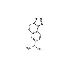 CC(C)c1ccc2c(ccc3nnnn32)n1